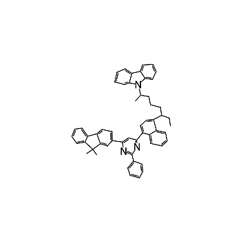 CCC(CCCC(C)n1c2ccccc2c2ccccc21)c1ccc(-c2cc(-c3ccc4c(c3)C(C)(C)c3ccccc3-4)nc(-c3ccccc3)n2)c2ccccc12